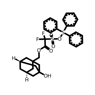 O=C(OCC12C[C@@H]3C[C@@H](CC(O)(C3)C1)C2)C(F)(F)S(=O)(=O)OS(c1ccccc1)(c1ccccc1)c1ccccc1